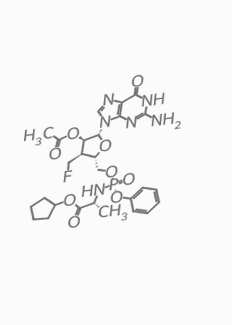 CC(=O)O[C@@H]1[C@H](CF)[C@@H](COP(=O)(N[C@H](C)C(=O)OC2CCCC2)Oc2ccccc2)O[C@H]1n1cnc2c(=O)[nH]c(N)nc21